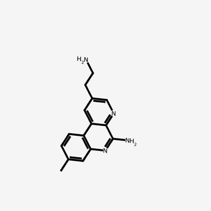 Cc1ccc2c(c1)nc(N)c1ncc(CCN)cc12